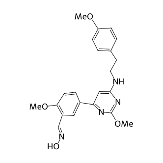 COc1ccc(CCNc2cc(-c3ccc(OC)c(C=NO)c3)nc(OC)n2)cc1